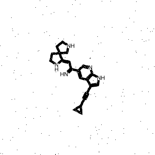 N=C(/C=C1\NCCC12CCNC2)c1cnc2[nH]cc(C#CC3CC3)c2c1